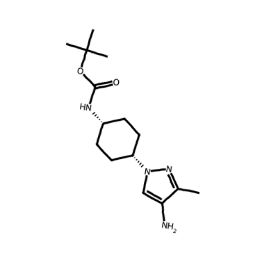 Cc1nn([C@H]2CC[C@@H](NC(=O)OC(C)(C)C)CC2)cc1N